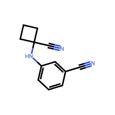 N#Cc1cccc(NC2(C#N)CCC2)c1